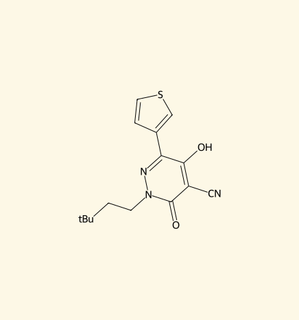 CC(C)(C)CCn1nc(-c2ccsc2)c(O)c(C#N)c1=O